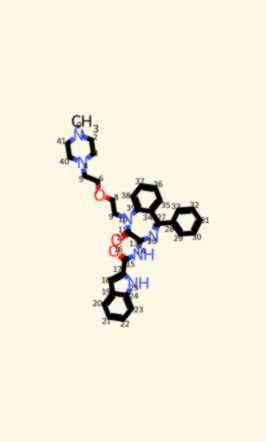 CN1CCN(CCOCCN2C(=O)C(NC(=O)c3cc4ccccc4[nH]3)N=C(c3ccccc3)c3ccccc32)CC1